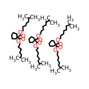 CC(C)CCCCCCOC(=O)C1(C(=O)OCCCCCCC(C)C)CCCCC1.CC(C)CCCCCCOC(=O)C1(C(=O)OCCCCCCC(C)C)CCCCC1.CC(C)CCCCCOC(=O)C1(C(=O)OCCCCCC(C)C)CCCCC1